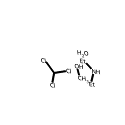 CCNCC.CO.ClC(Cl)Cl.O